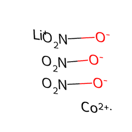 O=[N+]([O-])[O-].O=[N+]([O-])[O-].O=[N+]([O-])[O-].[Co+2].[Li+]